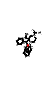 NC(=O)N1CCN(S(=O)(=O)c2ccccc2)C(C(N)=O)(C(c2ccccc2)c2ccccc2)C1